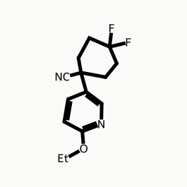 CCOc1ccc(C2(C#N)CCC(F)(F)CC2)cn1